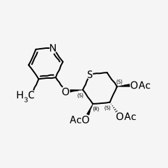 CC(=O)O[C@@H]1[C@@H](OC(C)=O)[C@@H](Oc2cnccc2C)SC[C@H]1OC(C)=O